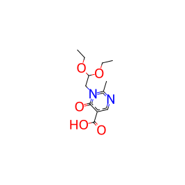 CCOC(Cn1c(C)ncc(C(=O)O)c1=O)OCC